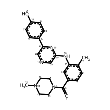 Cc1ccc(C(=O)N2CCN(C)CC2)cc1Nc1cncc(-c2ccc(O)cc2)n1